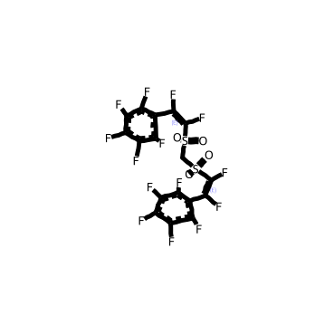 O=S(=O)(CS(=O)(=O)/C(F)=C(/F)c1c(F)c(F)c(F)c(F)c1F)/C(F)=C(/F)c1c(F)c(F)c(F)c(F)c1F